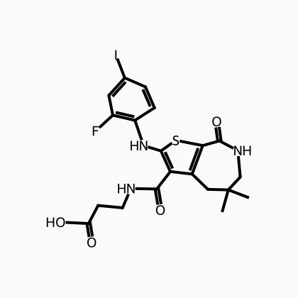 CC1(C)CNC(=O)c2sc(Nc3ccc(I)cc3F)c(C(=O)NCCC(=O)O)c2C1